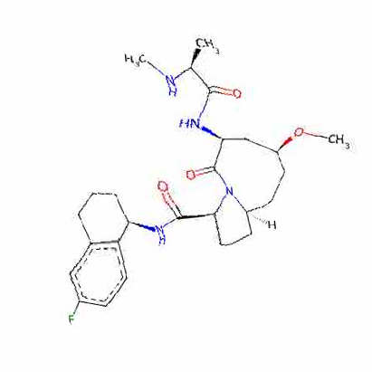 CN[C@@H](C)C(=O)N[C@H]1C[C@@H](OC)CC[C@H]2CC[C@@H](C(=O)N[C@@H]3CCCc4cc(F)ccc43)N2C1=O